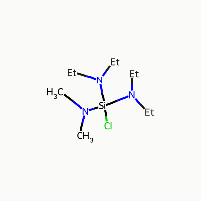 CCN(CC)[Si](Cl)(N(C)C)N(CC)CC